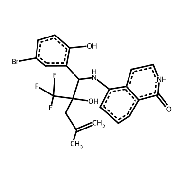 C=C(C)CC(O)(C(Nc1cccc2c(=O)[nH]ccc12)c1cc(Br)ccc1O)C(F)(F)F